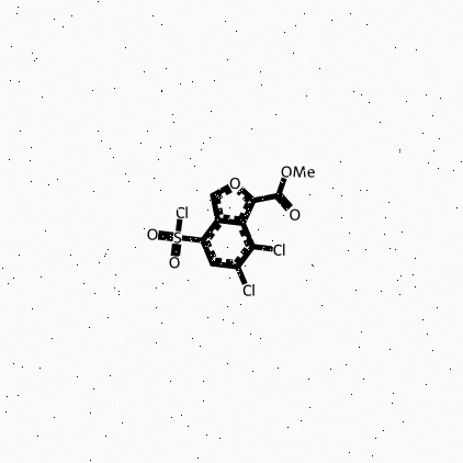 COC(=O)c1occ2c(S(=O)(=O)Cl)cc(Cl)c(Cl)c12